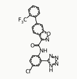 O=C(Nc1ccc(Cl)cc1-c1nnn[nH]1)c1noc2cc(-c3ccccc3C(F)(F)F)ccc12